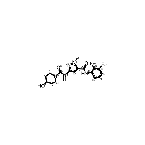 Cn1nc(NC(=O)N2CCC(O)CC2)cc1C(=O)Nc1cccc(F)c1F